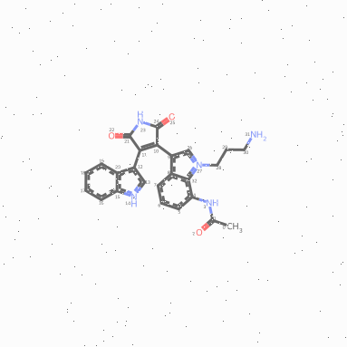 CC(=O)Nc1cccc2c(C3=C(c4c[nH]c5ccccc45)C(=O)NC3=O)cn(CCCN)c12